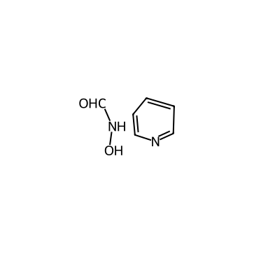 O=CNO.c1ccncc1